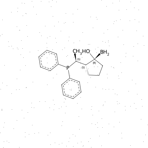 B[C@@]1(O)CCC[C@@H]1[C@H](C)P(c1ccccc1)c1ccccc1